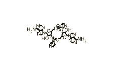 Nc1ncnc2c1ncn2C1OC2COP(=O)(n3ccnc3)OC3C(COP(n4ccnc4)OC2C1O)OC(n1cnc2c(N)ncnc21)C3O